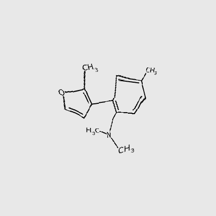 Cc1ccc(N(C)C)c(-c2ccoc2C)c1